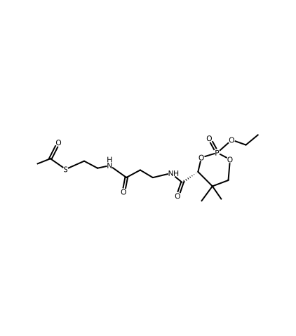 CCOP1(=O)OCC(C)(C)[C@H](C(=O)NCCC(=O)NCCSC(C)=O)O1